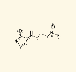 CCc1nccn1NCCCN(CC)CC